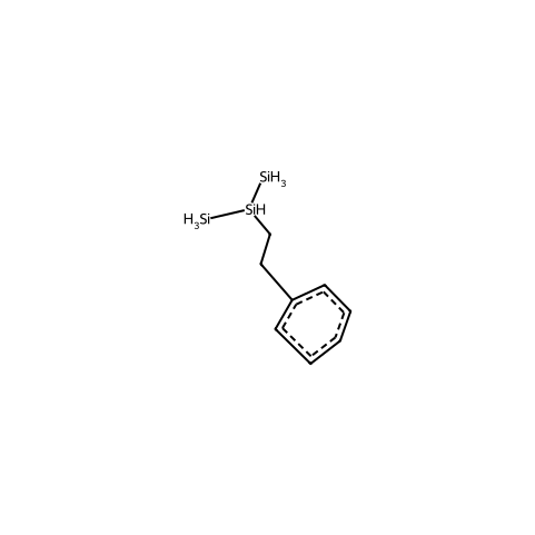 [SiH3][SiH]([SiH3])CCc1ccccc1